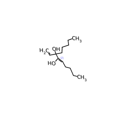 C=CC(O)(CCCCC)/C(O)=C/CCCC